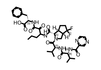 CCCC(NC(=O)[C@@H]1[C@H]2CCC(F)(F)[C@H]2CN1C(=O)[C@@H](NC(=O)[C@H](NC(=O)c1cnccn1)C(C)C)C(C)C)C(=O)C(=O)N[C@@H](Cc1ccccc1)C(=O)O